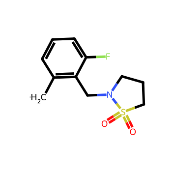 [CH2]c1cccc(F)c1CN1CCCS1(=O)=O